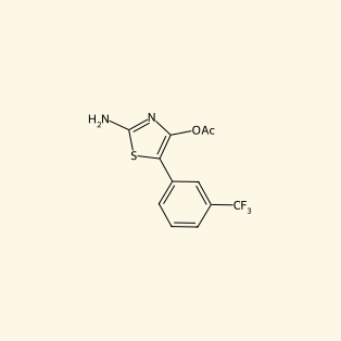 CC(=O)Oc1nc(N)sc1-c1cccc(C(F)(F)F)c1